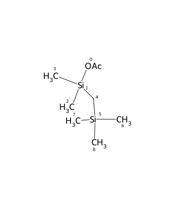 CC(=O)O[Si](C)(C)C[Si](C)(C)C